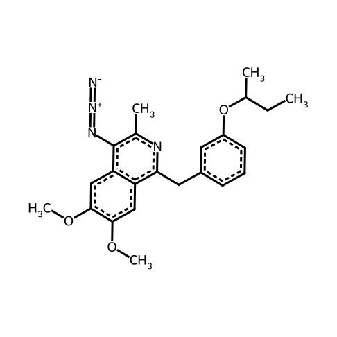 CCC(C)Oc1cccc(Cc2nc(C)c(N=[N+]=[N-])c3cc(OC)c(OC)cc23)c1